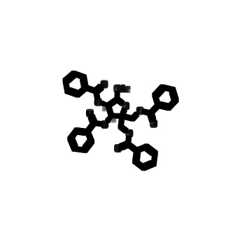 CC(=O)OC1OC(COC(=O)c2ccccc2)(COC(=O)c2ccccc2)[C@@H](OC(=O)c2ccccc2)[C@H]1OC(=O)c1ccccc1